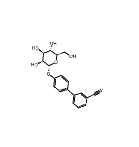 N#Cc1cccc(-c2ccc(O[C@H]3O[C@H](CO)[C@@H](O)[C@H](O)[C@@H]3O)cc2)c1